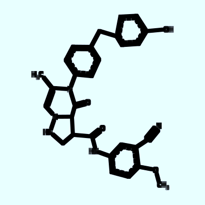 COc1ccc(NC(=O)C2CNN3C=C(C)N(c4ccc(Cc5ccc(O)cc5)cc4)C(=O)C23)cc1C#N